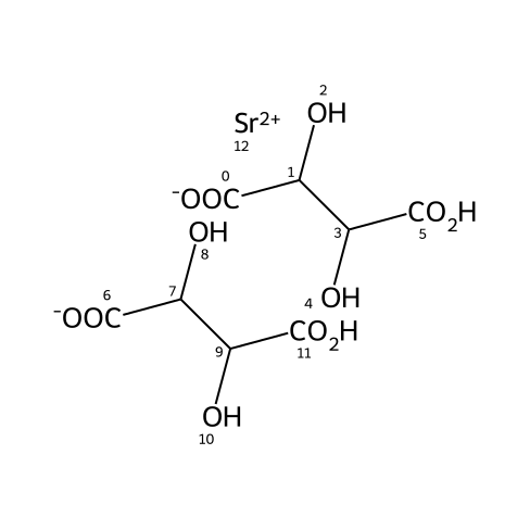 O=C([O-])C(O)C(O)C(=O)O.O=C([O-])C(O)C(O)C(=O)O.[Sr+2]